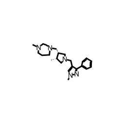 C[C@H]1CN(Cc2cn(C)nc2-c2ccccc2)C[C@H]1CN1CCCN(C)CC1